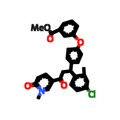 COC(=O)c1cccc(Oc2ccc(C(CC(=O)c3ccc(=O)n(C)c3)c3ccc(Cl)cc3C)cc2)c1